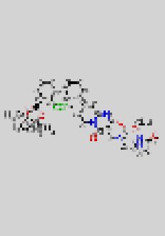 CC(C)(C)OC(=O)N(Cc1cnc2cc(-c3cccc(-c4cccc(B5OC(C)(C)C(C)(C)O5)c4Cl)c3Cl)ccn2c1=O)C[C@@H]1CCC(=O)N1